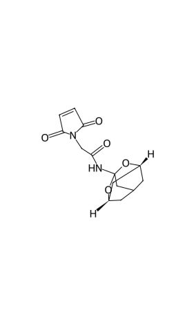 O=C(CN1C(=O)C=CC1=O)NC12CC3C[C@H](C[C@H](C3)O1)O2